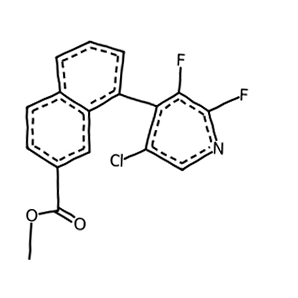 COC(=O)c1ccc2cccc(-c3c(Cl)cnc(F)c3F)c2c1